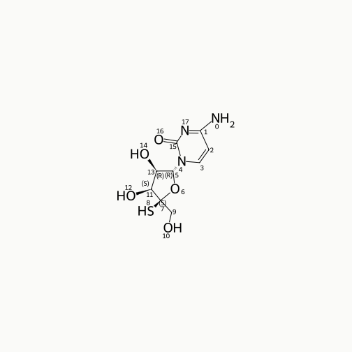 Nc1ccn([C@@H]2O[C@](S)(CO)[C@@H](O)[C@H]2O)c(=O)n1